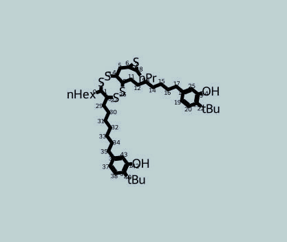 CCCCCCC1SSC(CC2SC2CCC)C(CCCCCCCc2ccc(C(C)(C)C)c(O)c2)SSC1CCCCCCCc1ccc(C(C)(C)C)c(O)c1